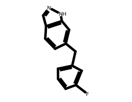 Fc1cccc(Cc2ccc3cn[nH]c3c2)c1